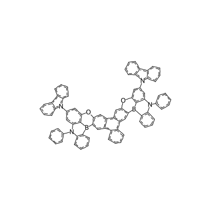 c1ccc(N2c3ccccc3B3c4cc5c6ccccc6c6cc7c(cc6c5cc4Oc4cc(-n5c6ccccc6c6ccccc65)cc2c43)Oc2cc(-n3c4ccccc4c4ccccc43)cc3c2B7c2ccccc2N3c2ccccc2)cc1